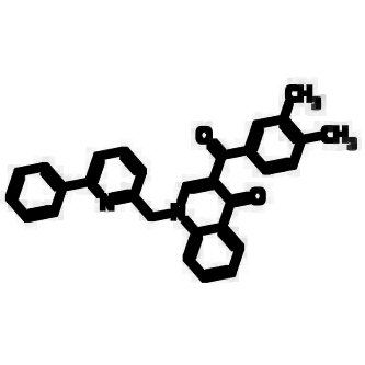 Cc1ccc(C(=O)c2cn(Cc3cccc(-c4ccccc4)n3)c3ccccc3c2=O)cc1C